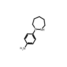 Nc1ccc(N2CCCCCN2)cc1